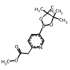 COC(=O)Cc1ccc(B2OC(C)(C)C(C)(C)O2)cn1